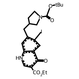 CCOC(=O)c1c[nH]c2cc(CC3CCN(C(=O)OC(C)(C)C)C3)c(I)cc2c1=O